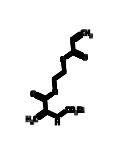 C=CC(=O)OCCOC(=O)C(=C)NC(=O)OCC